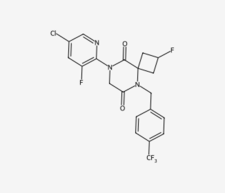 O=C1CN(c2ncc(Cl)cc2F)C(=O)C2(CC(F)C2)N1Cc1ccc(C(F)(F)F)cc1